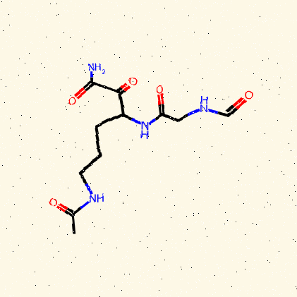 CC(=O)NCCCC(NC(=O)CNC=O)C(=O)C(N)=O